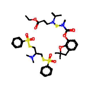 CCOC(=O)CCN(SN(C)C(=O)Oc1cccc2c1OC(C)(C)C2)C(C)C.CN(C)C(CSS(=O)(=O)c1ccccc1)CSS(=O)(=O)c1ccccc1